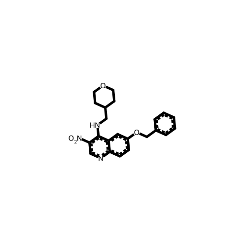 O=[N+]([O-])c1cnc2ccc(OCc3ccccc3)cc2c1NCC1CCOCC1